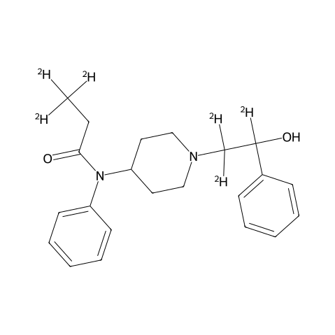 [2H]C([2H])([2H])CC(=O)N(c1ccccc1)C1CCN(C([2H])([2H])C([2H])(O)c2ccccc2)CC1